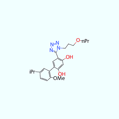 CCCOCCCn1nnnc1-c1cc(-c2cc(C(C)C)ccc2OC)c(O)cc1O